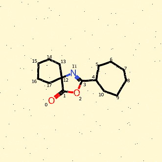 O=C1OC(C2CCCCCC2)=NC12CCCCC2